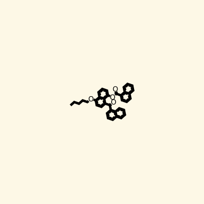 CCCCCOc1ccc(C(=O)c2cccc3ccccc23)c2c(OC(=O)c3cccc4ccccc34)cccc12